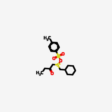 CCC(=O)C[S+](CC1CCCCC1)OS(=O)(=O)c1ccc(C)cc1